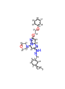 Cc1cccc(/C=N/Nc2cc(N3CCOCC3)n3nc(OCCOc4ccccc4)cc3n2)c1